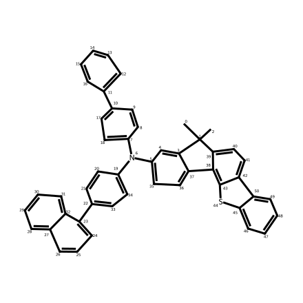 CC1(C)c2cc(N(c3ccc(-c4ccccc4)cc3)c3ccc(-c4cccc5ccccc45)cc3)ccc2-c2c1ccc1c2sc2ccccc21